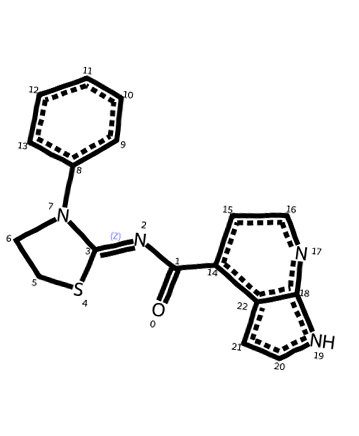 O=C(/N=C1\SCCN1c1ccccc1)c1ccnc2[nH]ccc12